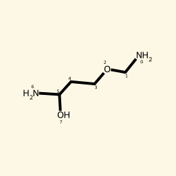 NCOCCC(N)O